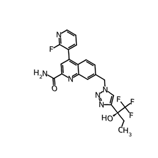 CC[C@](O)(c1cn(Cc2ccc3c(-c4cccnc4F)cc(C(N)=O)nc3c2)nn1)C(F)(F)F